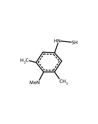 CNc1c(C)cc(NS)cc1C